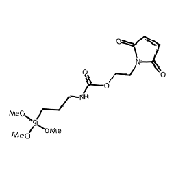 CO[Si](CCCNC(=O)OCCN1C(=O)C=CC1=O)(OC)OC